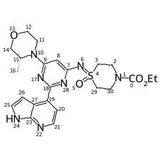 CCOC(=O)N1CCS(=O)(=Nc2cc(N3CCOC[C@H]3C)nc(-c3ccnc4[nH]ccc34)n2)CC1